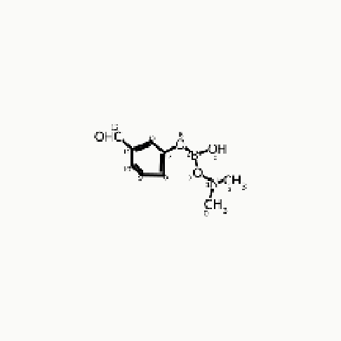 CN(C)OB(O)Oc1cccc(C=O)c1